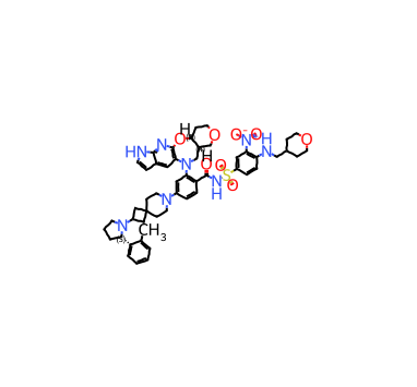 Cc1ccccc1[C@@H]1CCCN1C1CC2(CCN(c3ccc(C(=O)NS(=O)(=O)c4ccc(NCC5CCOCC5)c([N+](=O)[O-])c4)c(N4C[C@@H]5COCC[C@H]5Oc5nc6[nH]ccc6cc54)c3)CC2)C1